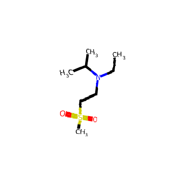 CCN(CCS(C)(=O)=O)C(C)C